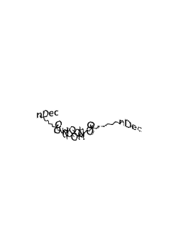 CCCCCCCCCCCCCCCCCC(=O)OCCN1C(C)(C)CC(O)(C2(O)CC(C)(C)N(CCOC(=O)CCCCCCCCCCCCCCCCC)C(C)(C)C2)CC1(C)C